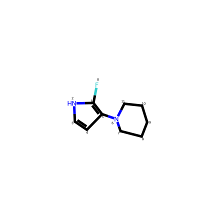 Fc1[nH]ccc1N1CCCCC1